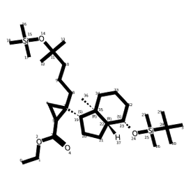 CCOC(=O)C1CC1(CCCC(C)(C)O[Si](C)(C)C)[C@H]1CC[C@H]2[C@@H](O[Si](C)(C)C(C)(C)C)CCC[C@]12C